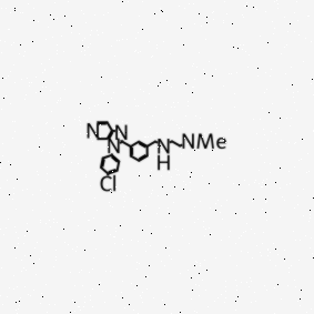 CNCCNCc1cccc(-c2nc3ccncc3n2-c2ccc(Cl)cc2)c1